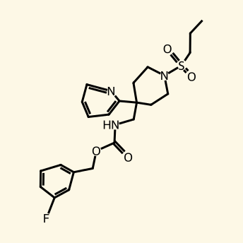 CCCS(=O)(=O)N1CCC(CNC(=O)OCc2cccc(F)c2)(c2ccccn2)CC1